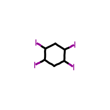 IC1CC(I)C(I)CC1I